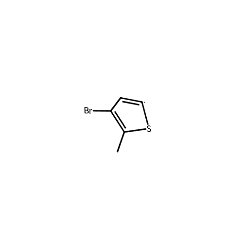 Cc1s[c]cc1Br